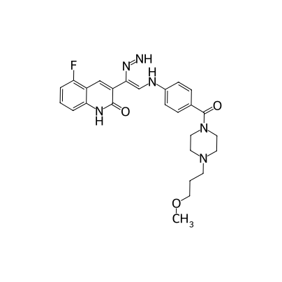 COCCCN1CCN(C(=O)c2ccc(N/C=C(\N=N)c3cc4c(F)cccc4[nH]c3=O)cc2)CC1